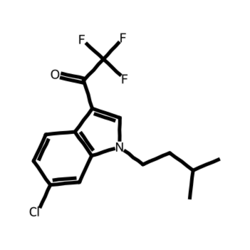 CC(C)CCn1cc(C(=O)C(F)(F)F)c2ccc(Cl)cc21